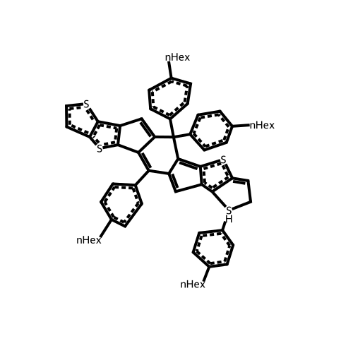 CCCCCCc1ccc(C2=C3C(=Cc4c3sc3ccsc43)C(c3ccc(CCCCCC)cc3)(c3ccc(CCCCCC)cc3)C3=c4sc5c(c4C=C23)[SH](c2ccc(CCCCCC)cc2)CC=5)cc1